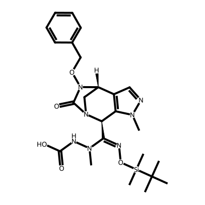 CN(NC(=O)O)/C(=N\O[Si](C)(C)C(C)(C)C)[C@@H]1c2c(cnn2C)[C@@H]2CN1C(=O)N2OCc1ccccc1